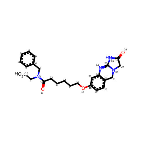 O=C(O)CN(Cc1ccccc1)C(=O)CCCCCOc1ccc2c(c1)N=C1NC(=O)CN1C2